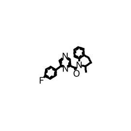 CC1CCc2ccccc2N1C(=O)c1cncc(-c2ccc(F)cc2)n1